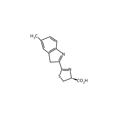 Cc1ccc2c(c1)CC(C1=N[C@@H](C(=O)O)CS1)=N2